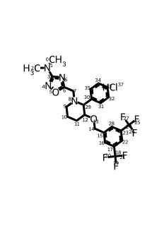 CN(C)c1noc(CN2CCCC(OCc3cc(C(F)(F)F)cc(C(F)(F)F)c3)C2c2ccccc2)n1.Cl